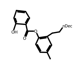 CCCCCCCCCCCCc1cc(C)ccc1OC(=O)c1ccccc1O